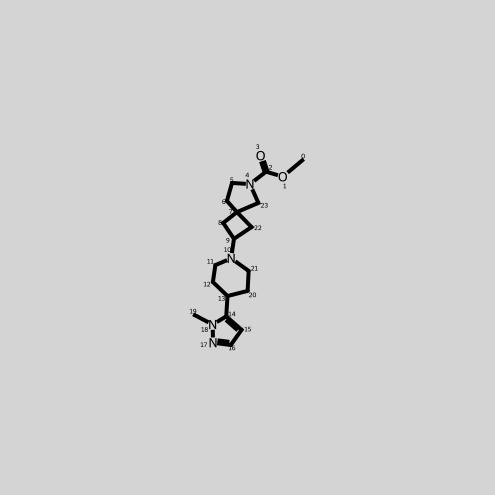 COC(=O)N1CCC2(CC(N3CCC(c4ccnn4C)CC3)C2)C1